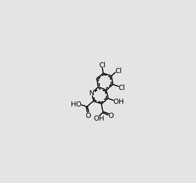 O=C(O)c1nc2cc(Cl)c(Cl)c(Cl)c2c(O)c1C(=O)O